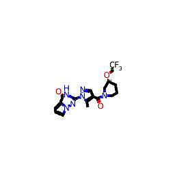 Cc1c(C(=O)N2CCC[C@@H](OCC(F)(F)F)C2)cnn1-c1nn2cccc2c(=O)[nH]1